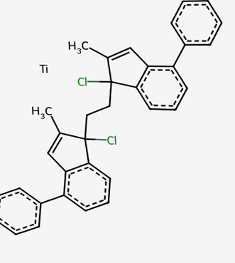 CC1=Cc2c(-c3ccccc3)cccc2C1(Cl)CCC1(Cl)C(C)=Cc2c(-c3ccccc3)cccc21.[Ti]